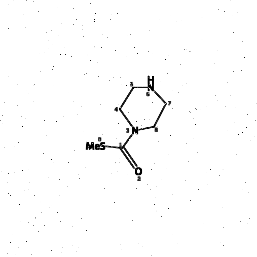 CSC(=O)N1CCNCC1